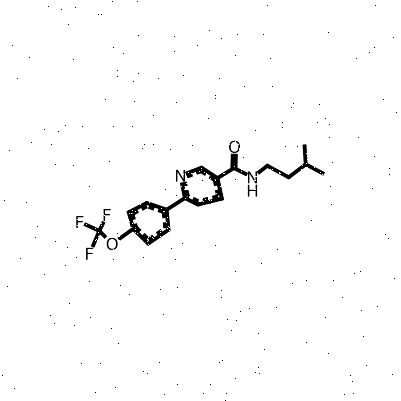 CC(C)CCNC(=O)c1ccc(-c2ccc(OC(F)(F)F)cc2)nc1